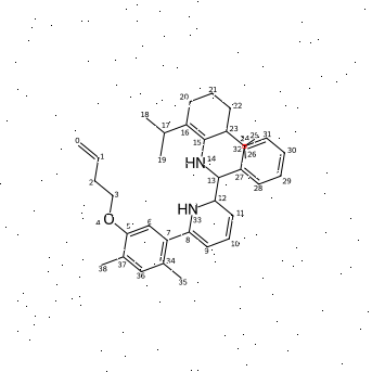 C=CCCOc1cc(C2=CC=CC(C(NC3=C(C(C)C)CCCC3C(C)C)c3ccccc3)N2)c(C)cc1C